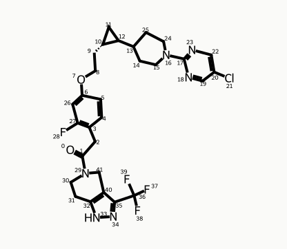 O=C(Cc1ccc(OCC[C@@H]2CC2C2CCN(c3ncc(Cl)cn3)CC2)cc1F)N1CCc2[nH]nc(C(F)(F)F)c2C1